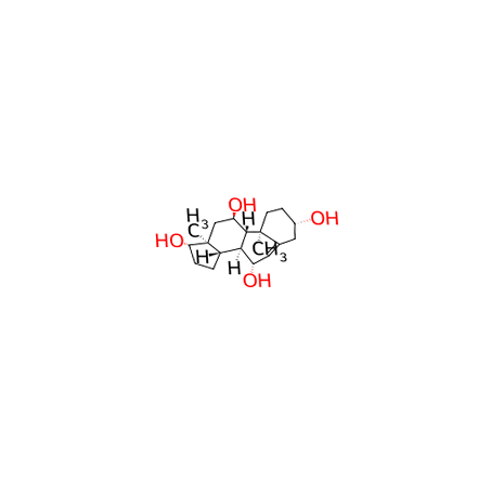 C[C@]12C[C@@H](O)[C@H]3[C@@H]([C@@H](O)C=C4C[C@@H](O)CC[C@@]43C)[C@@H]1CC[C@@H]2O